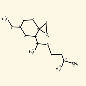 CCC1CCC2(CO2)C(C(C)OCCC(C)C)C1